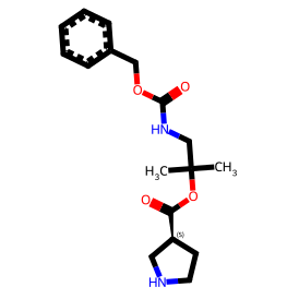 CC(C)(CNC(=O)OCc1ccccc1)OC(=O)[C@H]1CCNC1